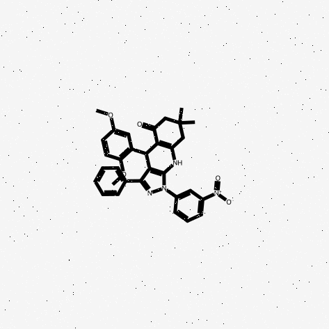 COc1ccc(OC)c(C2C3=C(CC(C)(C)CC3=O)Nc3c2c(-c2ccccc2)nn3-c2cccc([N+](=O)[O-])c2)c1